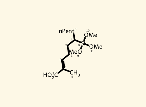 CCCCCC(CCC=C(C)C(=O)O)[Si](OC)(OC)OC